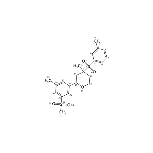 CC1(S(=O)(=O)c2cccc(C(F)(F)F)c2)CCOC(c2cc(C(F)(F)F)cc(S(C)(=O)=O)c2)C1